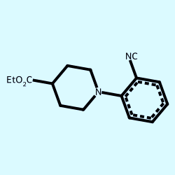 [C-]#[N+]c1ccccc1N1CCC(C(=O)OCC)CC1